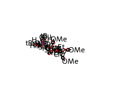 CCn1nc(C(=O)NCC[N+]2(CC3=C(C(=O)OCc4ccc(OC)cc4)N4C(=O)[C@@H](NC(=O)/C(=N\OC(C)(C)C(=O)OC(C)(C)C)c5csc(NC(=O)OC(C)(C)C)n5)[C@H]4SC3)CCCC2)c(=O)c2c(Cl)c(OCc3ccc(OC)cc3)c(OCc3ccc(OC)cc3)cc21